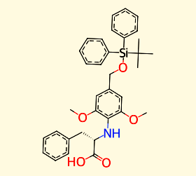 COc1cc(CO[Si](c2ccccc2)(c2ccccc2)C(C)(C)C)cc(OC)c1N[C@@H](Cc1ccccc1)C(=O)O